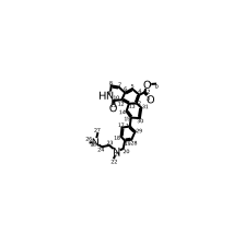 COC(=O)c1cc2cc[nH]c(=O)c2c2cc(-c3ccc(CN(C)CCN(C)C)cc3)ccc12